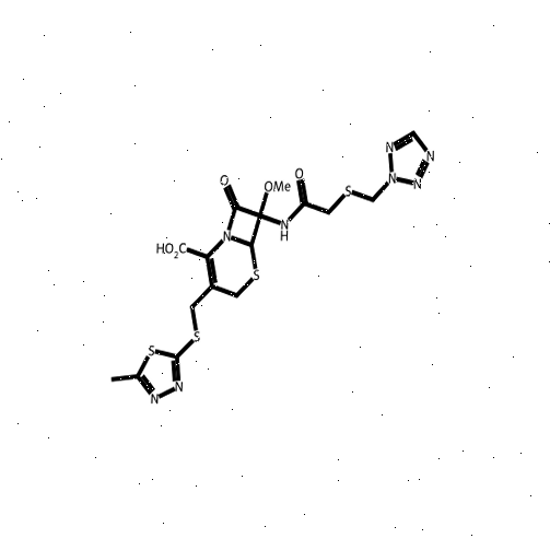 COC1(NC(=O)CSCn2ncnn2)C(=O)N2C(C(=O)O)=C(CSc3nnc(C)s3)CSC21